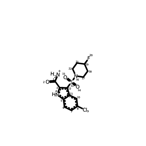 NC(=O)c1[nH]c2ccc(Cl)cc2c1S(=O)(=O)N1CCC(F)CC1